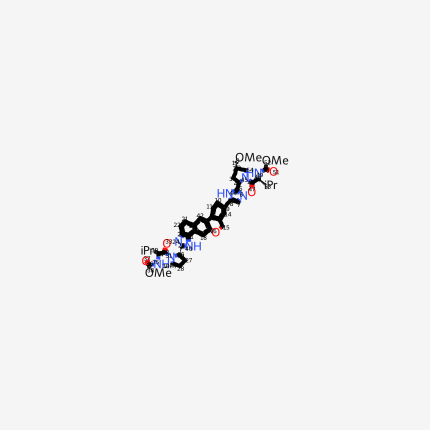 COC[C@H]1CC(c2ncc(-c3ccc4c(c3)COc3cc5c(ccc6nc([C@@H]7CC[C@H](C)N7C(=O)C(NC(=O)OC)C(C)C)[nH]c65)cc3-4)[nH]2)N(C(=O)[C@@H](NC(=O)OC)C(C)C)C1